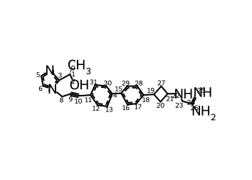 C[C@H](O)c1nccn1CC#Cc1ccc(-c2ccc(C3CC(NCC(=N)N)C3)cc2)cc1